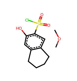 COC.O=S(=O)(Cl)c1cc2c(cc1O)CCCC2